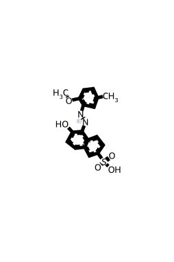 COc1ccc(C)cc1/N=N/c1c(O)ccc2cc(S(=O)(=O)O)ccc12